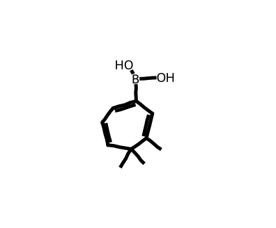 CC1=CC(B(O)O)=CC=CC1(C)C